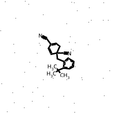 CC(C)(C)c1ccccc1CC1(C#N)C=CC(C#N)=CC1